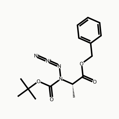 C[C@@H](C(=O)OCc1ccccc1)N(N=[N+]=[N-])C(=O)OC(C)(C)C